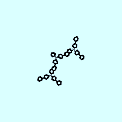 c1ccc(-c2ccc(N(c3ccc(-c4ccccc4)cc3)c3ccc4cc(-c5ccc(N(c6ccccc6)c6ccc(-c7ccc8cc(N(c9ccc(-c%10ccccc%10)cc9)c9ccc(-c%10ccccc%10)cc9)ccc8c7)cc6)cc5)ccc4c3)cc2)cc1